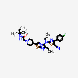 CCc1nc2sc(C3CCN(CC(=O)NC(C)(C)CC)CC3)cn2c1N(CC)c1nc(-c2ccc(F)cc2)c(C#N)s1